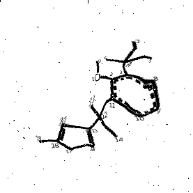 COc1c(C(C)(C)C)cccc1C(C)(C)C1=CCC(C)=C1